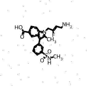 CNS(=O)(=O)c1cccc(-c2c(C)n(CC(F)=CCN)c3ccc(C(=O)O)cc23)c1